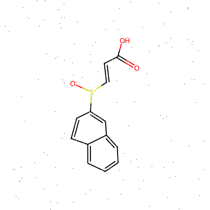 O=C(O)/C=C/[S+]([O-])c1ccc2ccccc2c1